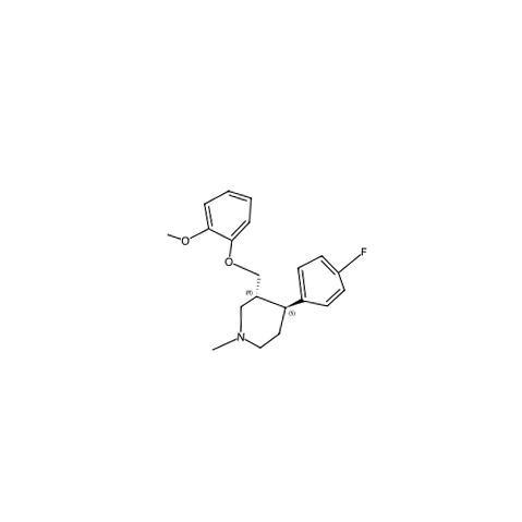 COc1ccccc1OC[C@H]1CN(C)CC[C@@H]1c1ccc(F)cc1